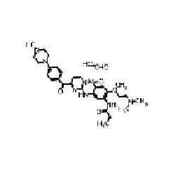 C=CC(=O)Nc1cc(Nc2nccc(C(=O)c3ccc(N4CCN(C)CC4)cc3)n2)c(OC)cc1N(C)CCN(C)C.O=CO